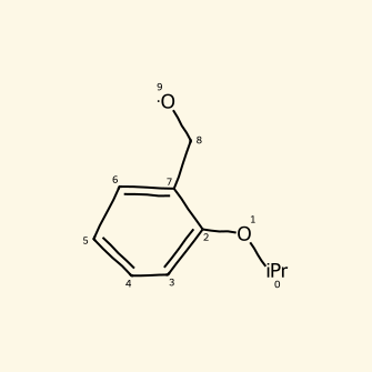 CC(C)Oc1ccccc1C[O]